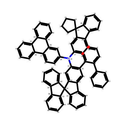 c1ccc(-c2ccccc2-c2cc3c(cc2N(c2ccc4c(c2)C2(CCCC2)c2ccccc2-4)c2ccc4c5ccccc5c5ccccc5c4c2)C2(c4ccccc4-c4ccccc42)c2ccccc2-3)cc1